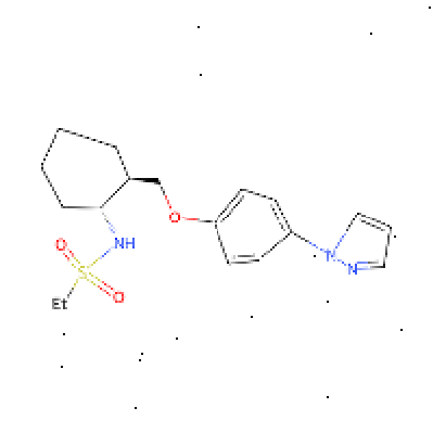 CCS(=O)(=O)N[C@@H]1CCCC[C@H]1COc1ccc(-n2cccn2)cc1